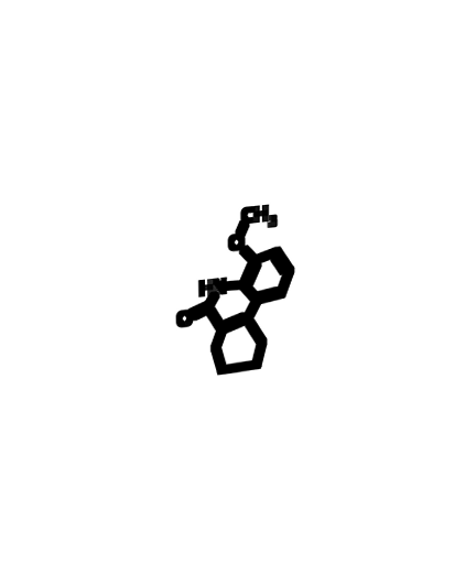 COc1cccc2c3c(c(=O)[nH]c12)CCCC3